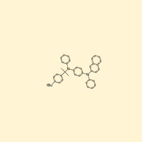 CC(C)(C)c1ccc(C(C)(C)N(c2ccccc2)c2ccc(N(c3ccccc3)c3ccc4ccccc4c3)cc2)cc1